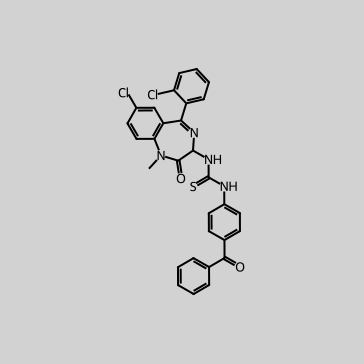 CN1C(=O)C(NC(=S)Nc2ccc(C(=O)c3ccccc3)cc2)N=C(c2ccccc2Cl)c2cc(Cl)ccc21